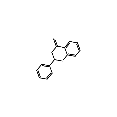 O=C1C[C](c2ccccc2)Sc2ccccc21